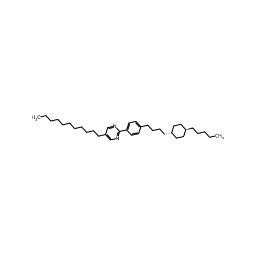 CCCCCCCCCCCc1cnc(-c2ccc(CCCC[C@H]3CC[C@H](CCCCC)CC3)cc2)nc1